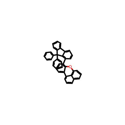 c1ccc(C2(c3ccccc3)c3ccccc3-c3cccc(-c4cccc5c4Oc4cccc6cccc-5c46)c32)cc1